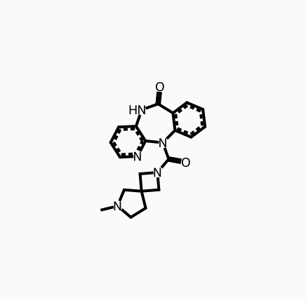 CN1CCC2(C1)CN(C(=O)N1c3ccccc3C(=O)Nc3cccnc31)C2